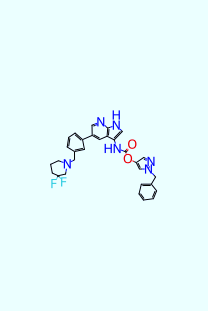 O=C(Nc1c[nH]c2ncc(-c3cccc(CN4CCCC(F)(F)C4)c3)cc12)Oc1cnn(Cc2ccccc2)c1